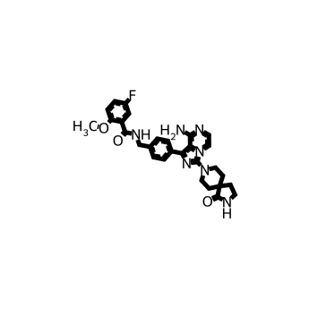 COc1ccc(F)cc1C(=O)NCc1ccc(-c2nc(N3CCC4(CCNC4=O)CC3)n3ccnc(N)c23)cc1